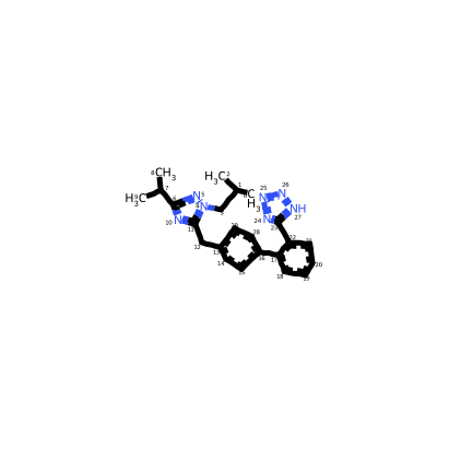 CC(C)Cn1nc(C(C)C)nc1Cc1ccc(-c2ccccc2-c2nnn[nH]2)cc1